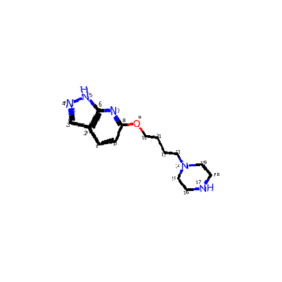 c1cc2cn[nH]c2nc1OCCCCN1CCNCC1